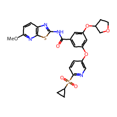 COc1ccc2nc(NC(=O)c3cc(Oc4ccc(S(=O)(=O)C5CC5)nc4)cc(OC4CCOC4)c3)sc2n1